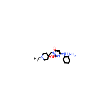 CN1CCC(O)(Cn2cnc(NC3CCCCC3N)cc2=O)CC1